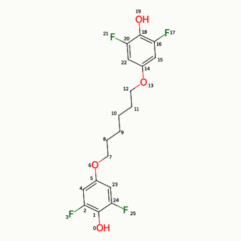 Oc1c(F)cc(OCCCCCCOc2cc(F)c(O)c(F)c2)cc1F